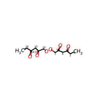 CCC(=O)CC(=O)COOCC(=O)CC(=O)CC